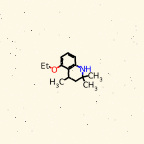 CCOc1cccc2c1C(C)CC(C)(C)N2